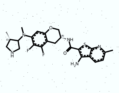 Cc1ccc2c(N)c(C(=O)N[C@H]3COc4cc(N(C)C5CNC[C@@H]5C)c(F)c(F)c4C3)sc2n1